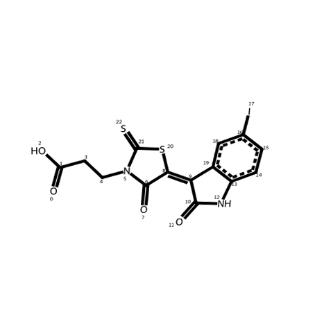 O=C(O)CCN1C(=O)/C(=C2\C(=O)Nc3ccc(I)cc32)SC1=S